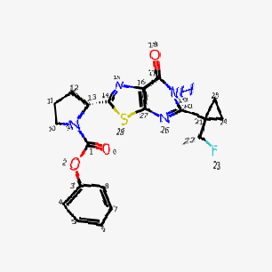 O=C(Oc1ccccc1)N1CCC[C@@H]1c1nc2c(=O)[nH]c(C3(CF)CC3)nc2s1